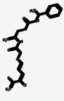 C=C(CCC(=O)NC(C)c1ccccc1)NC(=O)CO/C=C/C=C(/Cl)C(=C)F